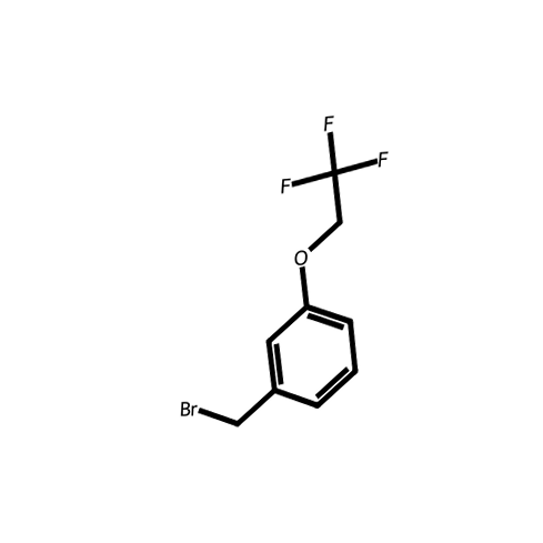 FC(F)(F)COc1cccc(CBr)c1